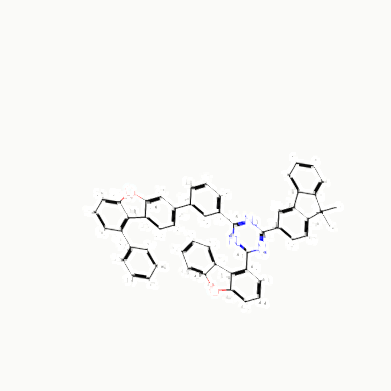 CC1(C)c2ccccc2-c2cc(-c3nc(-c4cccc(-c5ccc6c(c5)oc5cccc(-c7ccccc7)c56)c4)nc(-c4cccc5oc6ccccc6c45)n3)ccc21